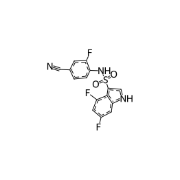 N#Cc1ccc(NS(=O)(=O)c2c[nH]c3cc(F)cc(F)c23)c(F)c1